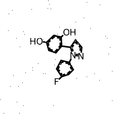 Oc1ccc(-c2ccnn2-c2ccc(F)cc2)c(O)c1